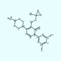 CCC1(COc2c(N3CCN(C)CC3)cnn(-c3cc(F)cc(F)c3)c2=O)CC1